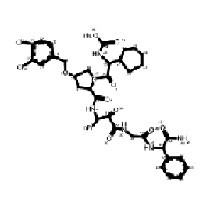 CCCC(NC(=O)C1C[C@@H](OCc2ccc(Cl)c(Cl)c2)CN1C(=O)C(NC(=O)OCC(C)C)C1CCCCC1)C(=O)C(=O)NCC(=O)NC(C(N)=O)c1ccccc1